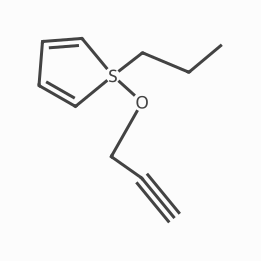 C#CCOS1(CCC)C=CC=C1